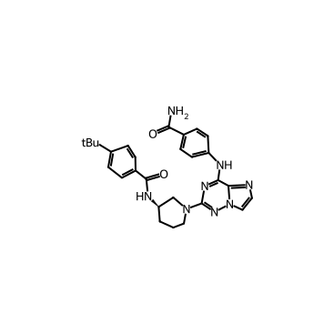 CC(C)(C)c1ccc(C(=O)N[C@@H]2CCCN(c3nc(Nc4ccc(C(N)=O)cc4)c4nccn4n3)C2)cc1